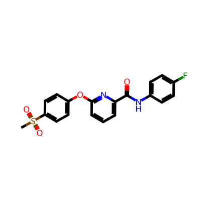 CS(=O)(=O)c1ccc(Oc2cccc(C(=O)Nc3ccc(F)cc3)n2)cc1